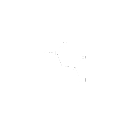 O=[N+]([O-])CC(O)Br